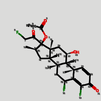 CCCCCC(=O)O[C@]1(C(=O)CF)[C@H](C)C[C@H]2[C@@H]3C[C@H](F)C4=C(F)C(=O)C=C[C@]4(C)[C@H]3[C@@H](O)C[C@@]21C